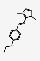 CCNc1ccc(N=NC2=[N+](C)C=CC2C)cc1